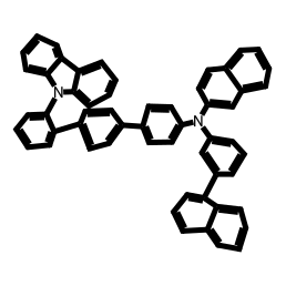 c1cc(-c2cccc3ccccc23)cc(N(c2ccc(-c3ccc(-c4ccccc4-n4c5ccccc5c5ccccc54)cc3)cc2)c2ccc3ccccc3c2)c1